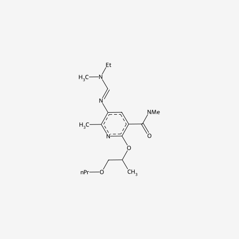 CCCOCC(C)Oc1nc(C)c(N=CN(C)CC)cc1C(=O)NC